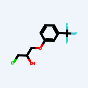 OC(CCl)COc1cccc(C(F)(F)F)c1